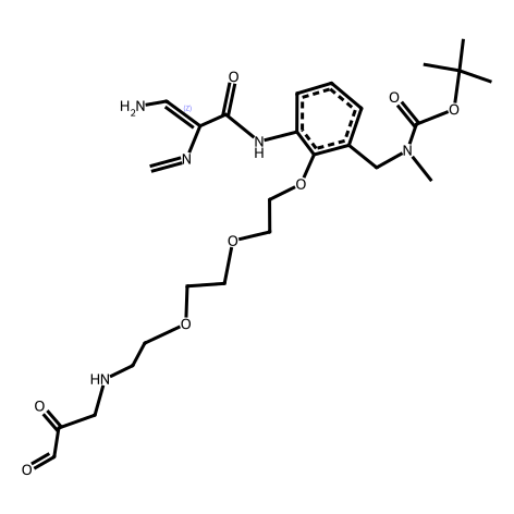 C=N/C(=C\N)C(=O)Nc1cccc(CN(C)C(=O)OC(C)(C)C)c1OCCOCCOCCNCC(=O)C=O